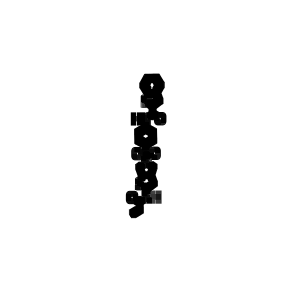 C=CC(=O)NC1CC2CN(S(=O)(=O)c3ccc(NC(=O)c4cc5ccccc5s4)cc3)CC2S1